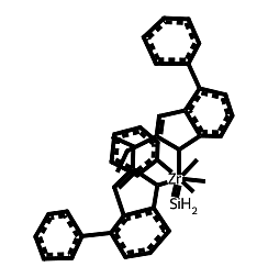 CCC1=Cc2c(-c3ccccc3)cccc2[CH]1[Zr]([CH3])([CH3])([CH3])(=[SiH2])([c]1ccccc1)[CH]1C(CC)=Cc2c(-c3ccccc3)cccc21